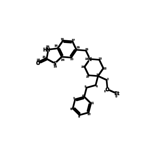 CCOCC1(CCc2ccccc2)CCN(Cc2ccc3[nH]c(=O)sc3c2)CC1